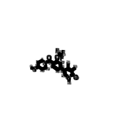 CSC1CCN(C(=O)c2ccc(-c3cn(C)c(=O)c(C)c3C)cc2OC(F)(F)F)CC1